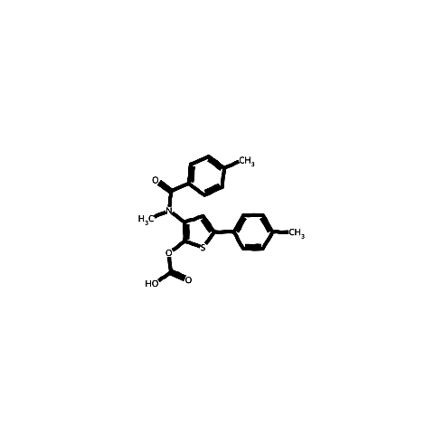 Cc1ccc(C(=O)N(C)c2cc(-c3ccc(C)cc3)sc2OC(=O)O)cc1